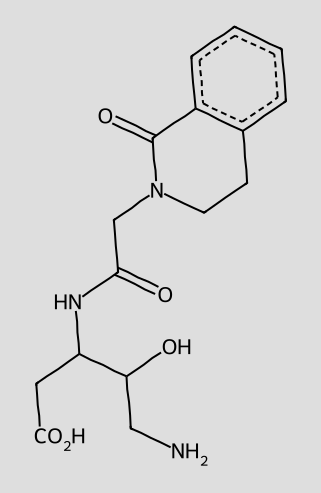 NCC(O)C(CC(=O)O)NC(=O)CN1CCc2ccccc2C1=O